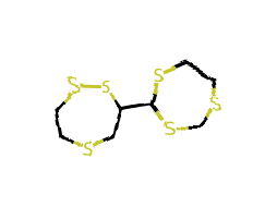 C1CSC(C2CSCCSS2)SCS1